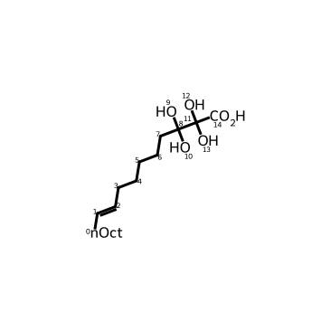 CCCCCCCCC=CCCCCCC(O)(O)C(O)(O)C(=O)O